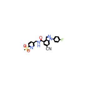 CS(=O)(=O)c1ccc(CNC(=O)c2cc(C#N)cc3c2cnn3-c2ccc(F)cc2)cn1